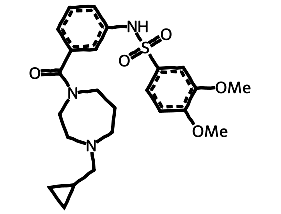 COc1ccc(S(=O)(=O)Nc2cccc(C(=O)N3CCCN(CC4CC4)CC3)c2)cc1OC